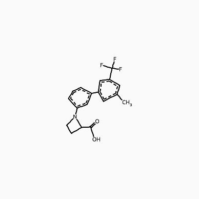 Cc1cc(-c2cccc(N3CCC3C(=O)O)c2)cc(C(F)(F)F)c1